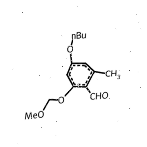 CCCCOc1cc(C)c(C=O)c(OCOC)c1